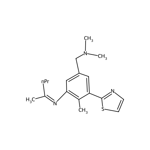 CCC/C(C)=N\c1cc(CN(C)C)cc(-c2nccs2)c1C